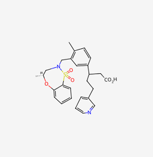 Cc1ccc(C(CCc2cccnc2)CC(=O)O)cc1CN1C[C@@H](C)Oc2ccccc2S1(=O)=O